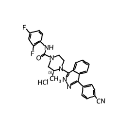 C[C@H]1CN(C(=O)Nc2ccc(F)cc2F)CCN1c1nnc(-c2ccc(C#N)cc2)c2ccccc12.Cl